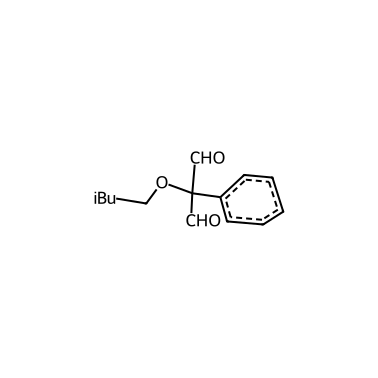 CCC(C)COC(C=O)(C=O)c1ccccc1